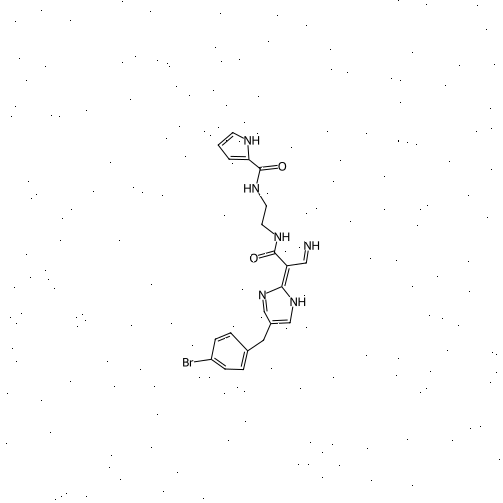 N=C/C(C(=O)NCCNC(=O)c1ccc[nH]1)=C1/N=CC(Cc2ccc(Br)cc2)=CN1